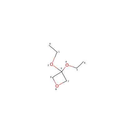 CCOC1(OCC)COC1